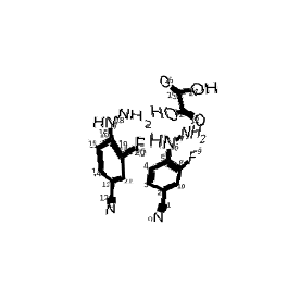 N#Cc1ccc(NN)c(F)c1.N#Cc1ccc(NN)c(F)c1.O=C(O)C(=O)O